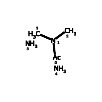 CC(=O)N(C)C.N.N